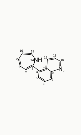 C1=CC=C(c2cccc3ncccc23)NC=C1